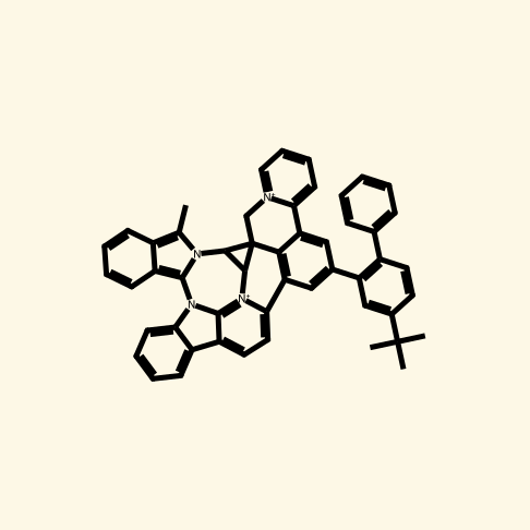 Cc1c2ccccc2c2n1C1C3[n+]4c(ccc5c6ccccc6n-2c54)-c2cc(-c4cc(C(C)(C)C)ccc4-c4ccccc4)cc4c2C13C[n+]1ccccc1-4